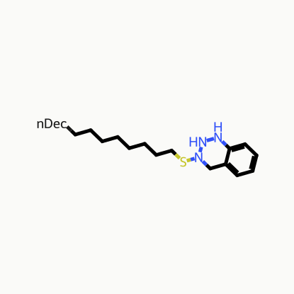 CCCCCCCCCCCCCCCCCCSN1Cc2ccccc2NN1